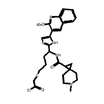 CCC(=O)CCCCCC(NC(=O)C1CC12CCN(C)CC2)c1ncc(-c2cc3ccccc3nc2OC)[nH]1